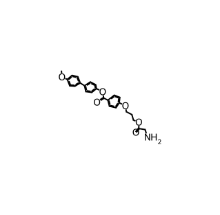 COc1ccc(-c2ccc(OC(=O)c3ccc(OCCCOC(=O)CN)cc3)cc2)cc1